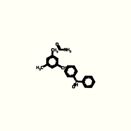 Cc1cc(C)cc(C)c1.NC=O.O=[PH](c1ccccc1)c1ccccc1